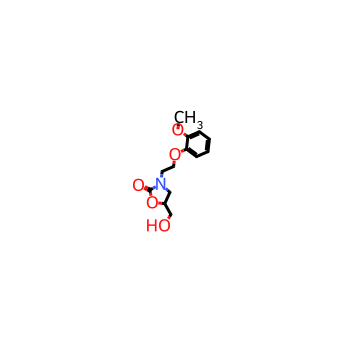 COc1ccccc1OCCN1CC(CO)OC1=O